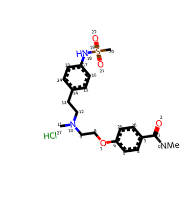 CNC(=O)c1ccc(OCCN(C)CCc2ccc(NS(C)(=O)=O)cc2)cc1.Cl